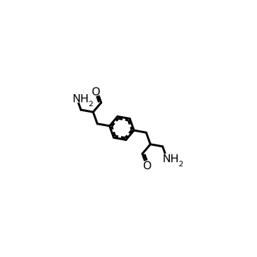 NCC(C=O)Cc1ccc(CC(C=O)CN)cc1